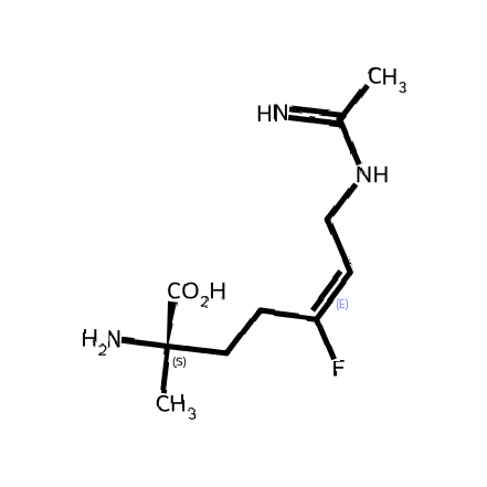 CC(=N)NC/C=C(/F)CC[C@](C)(N)C(=O)O